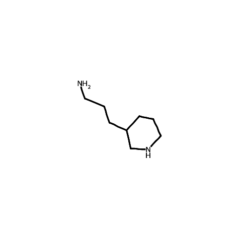 NCCCC1CCCNC1